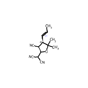 C/C=C/[C@@H]1C(C#N)C(C(C#N)C#N)OC1(C)C